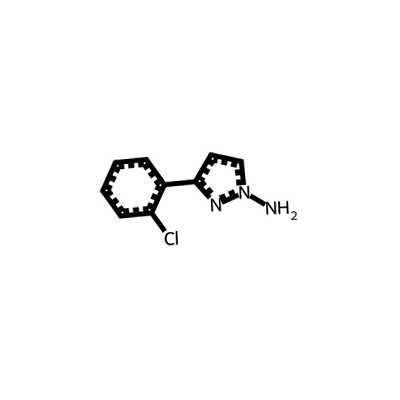 Nn1ccc(-c2ccccc2Cl)n1